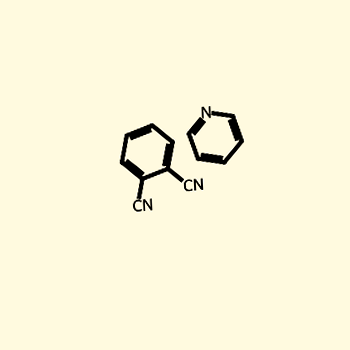 N#Cc1ccccc1C#N.c1ccncc1